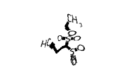 C#CCC([SH](=O)=O)S(=O)(=O)OCC